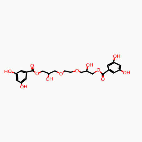 O=C(OCC(O)COCCOCC(O)COC(=O)c1cc(O)cc(O)c1)c1cc(O)cc(O)c1